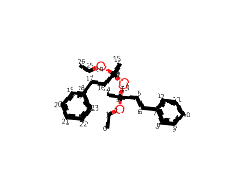 CCOC(C)(CCc1ccccc1)OC(C)(CCc1ccccc1)OCC